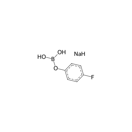 OB(O)Oc1ccc(F)cc1.[NaH]